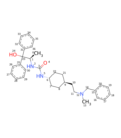 C[C@@H](NC(=O)N[C@H]1CC[C@H](CCN(C)Cc2ccccc2)CC1)C(O)(c1ccccc1)c1ccccc1